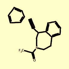 C#CC1CN(C(=O)C(F)(F)F)CCc2ccccc21.c1ccccc1